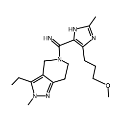 CCc1c2c(nn1C)CCN(C(=N)c1[nH]c(C)nc1CCCOC)C2